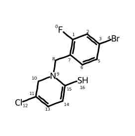 Fc1cc(Br)ccc1CN1CC(Cl)=CC=C1S